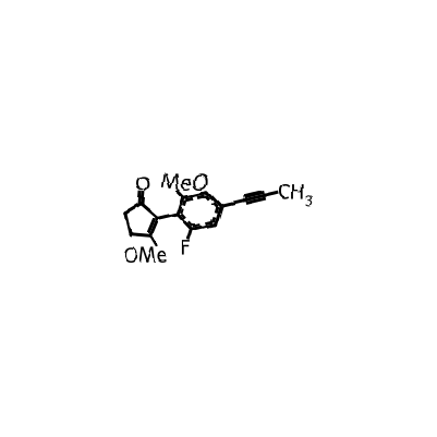 CC#Cc1cc(F)c(C2=C(OC)CCC2=O)c(OC)c1